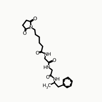 CC(Cc1ccccc1)NC(=O)CNC(=O)CNC(=O)CCCCCN1C(=O)CCC1=O